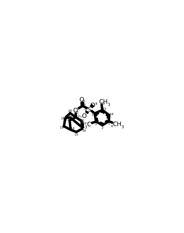 Cc1cc(C)c(S(=O)(=O)C(=O)OC23CC4CC(CC(C4)C2)C3)c(C)c1